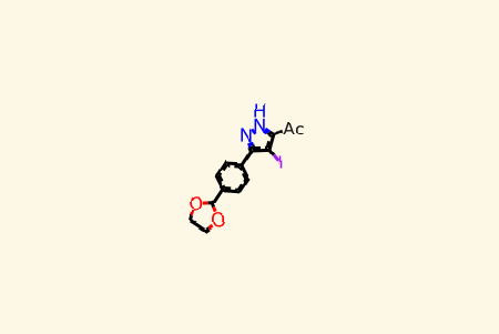 CC(=O)c1[nH]nc(-c2ccc(C3OCCO3)cc2)c1I